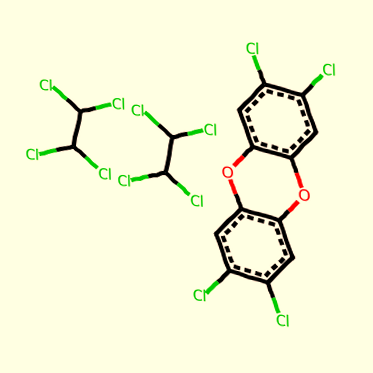 ClC(Cl)C(Cl)Cl.ClC(Cl)C(Cl)Cl.Clc1cc2c(cc1Cl)Oc1cc(Cl)c(Cl)cc1O2